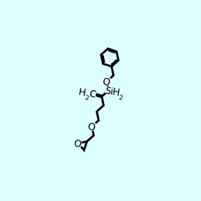 C=C(CCCOCC1CO1)[SiH2]OCc1ccccc1